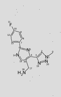 Cn1cc(-c2nc(-c3ccc(F)cc3)ncc2CN)nn1